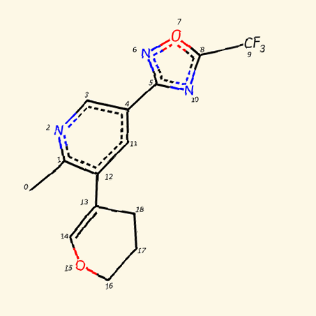 Cc1ncc(-c2noc(C(F)(F)F)n2)cc1C1=COCCC1